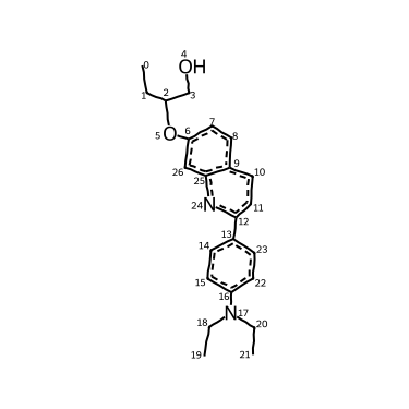 CCC(CO)Oc1ccc2ccc(-c3ccc(N(CC)CC)cc3)nc2c1